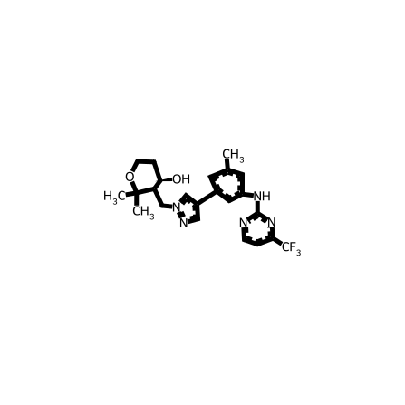 Cc1cc(Nc2nccc(C(F)(F)F)n2)cc(-c2cnn(CC3[C@H](O)CCOC3(C)C)c2)c1